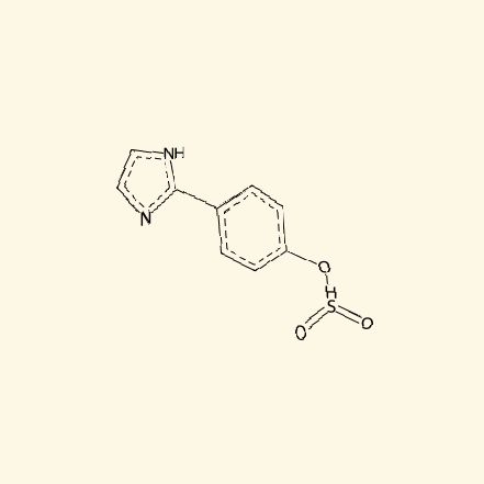 O=[SH](=O)Oc1ccc(-c2ncc[nH]2)cc1